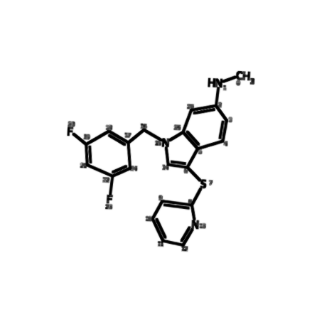 CNc1ccc2c(Sc3ccccn3)cn(Cc3cc(F)cc(F)c3)c2c1